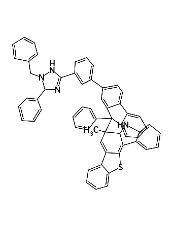 CC1(C2(c3ccccc3)c3ccccc3-c3ccc(-c4cccc(C5=NC(c6ccccc6)N(Cc6ccccc6)N5)c4)cc32)C=c2c(sc3ccccc23)=C2c3ccccc3NC21